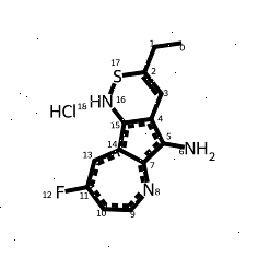 CCC1=Cc2c(N)c3nccc(F)cc-3c2NS1.Cl